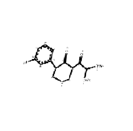 COC(OC)C(=O)C1CSCC(c2cccc(F)c2)C1=O